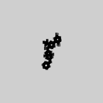 Fc1ccc(Cl)c(-c2cc(C(F)(F)F)c(N[C@H]3C[C@@H]4CN(CC5CCOCC5)C[C@@H]4C3)nn2)c1